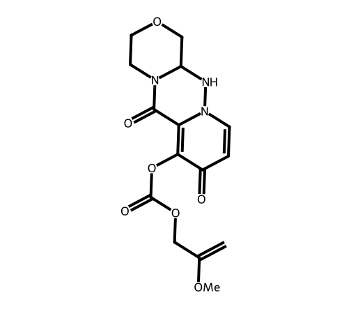 C=C(COC(=O)Oc1c2n(ccc1=O)NC1COCCN1C2=O)OC